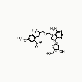 COc1ccc(CC(C)COCN2CN([C@H]3CC(O)[C@@H](CO)O3)c3ncnc(N)c32)c([N+](=O)[O-])c1